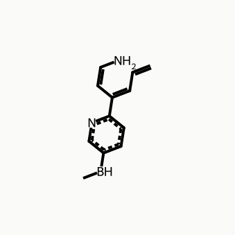 C=C/C=C(\C=C/N)c1ccc(BC)cn1